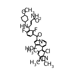 COC1CCC(NC(C=CC(N)=O)c2c(F)ccc(C(=O)c3cc(CO)c4c(-c5c(C)cc6c(nc(C)n6C)c5Cl)cccn34)c2F)CC1